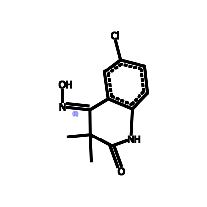 CC1(C)C(=O)Nc2ccc(Cl)cc2/C1=N\O